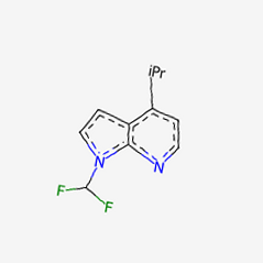 CC(C)c1ccnc2c1ccn2C(F)F